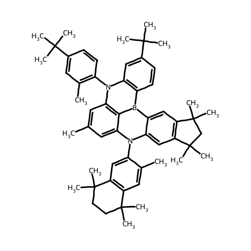 Cc1cc2c3c(c1)N(c1cc4c(cc1C)C(C)(C)CCC4(C)C)c1cc4c(cc1B3c1ccc(C(C)(C)C)cc1N2c1ccc(C(C)(C)C)cc1C)C(C)(C)CC4(C)C